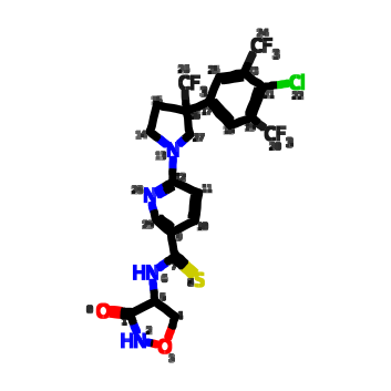 O=C1NOCC1NC(=S)c1ccc(N2CCC(c3cc(C(F)(F)F)c(Cl)c(C(F)(F)F)c3)(C(F)(F)F)C2)nc1